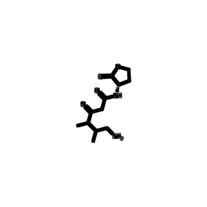 CC(CN)C(C)C(=O)CC(=O)N[C@H]1CCOC1=O